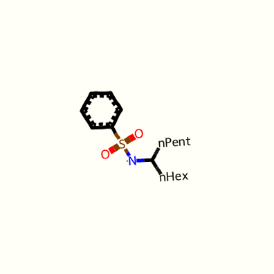 CCCCCCC(CCCCC)[N]S(=O)(=O)c1ccccc1